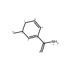 C=C(N)C1=CC(C)CC=C1